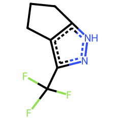 FC(F)(F)c1n[nH]c2c1CCC2